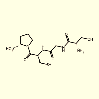 N[C@@H](CO)C(=O)NCC(=O)N[C@@H](CS)C(=O)N1CCC[C@H]1C(=O)O